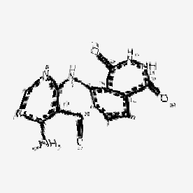 Nc1ncnc(Nc2cccc3c(=O)[nH][nH]c(=O)c23)c1C=O